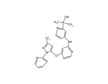 CC(C)(O)c1cc(Nc2cc(Oc3cc(C(F)(F)F)nn3-c3ccccn3)ccn2)ccn1